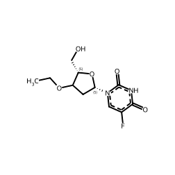 CCOC1C[C@@H](n2cc(F)c(=O)[nH]c2=O)O[C@H]1CO